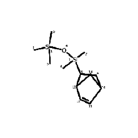 C[Si](C)(C)O[Si](C)(C)C1CC2C=CC1C2